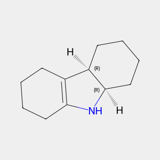 C1CCC2=C(C1)N[C@@H]1CCCC[C@H]21